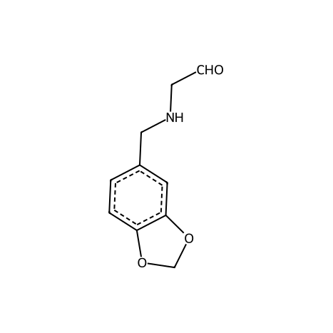 O=CCNCc1ccc2c(c1)OCO2